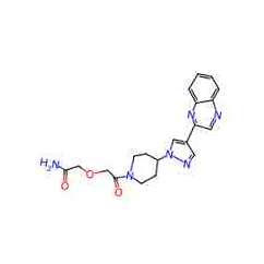 NC(=O)COCC(=O)N1CCC(n2cc(-c3cnc4ccccc4n3)cn2)CC1